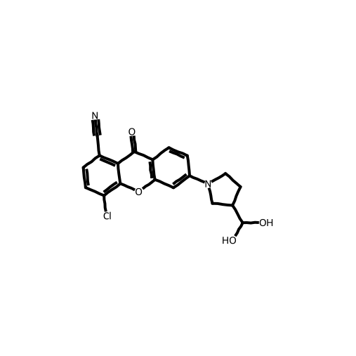 N#Cc1ccc(Cl)c2oc3cc(N4CCC(C(O)O)C4)ccc3c(=O)c12